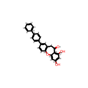 O=C1Cc2cc(-c3ccc(-c4ccccc4)cc3)ccc2Oc2cc(O)cc(O)c21